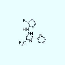 Fc1ccccc1Nc1cc(C(F)(F)F)nc(-c2ccccn2)n1